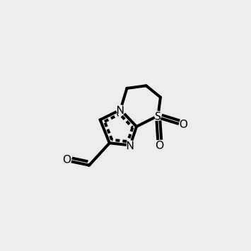 O=Cc1cn2c(n1)S(=O)(=O)CCC2